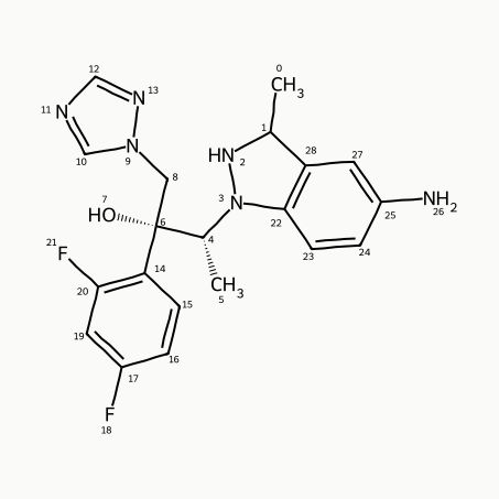 CC1NN([C@H](C)[C@](O)(Cn2cncn2)c2ccc(F)cc2F)c2ccc(N)cc21